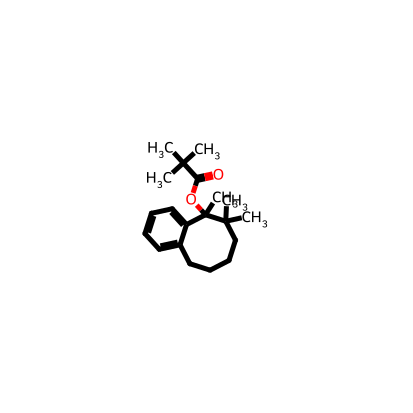 CC(C)(C)C(=O)OC1(C)c2ccccc2CCCCC1(C)C